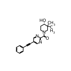 CC1(C)CN(C(=O)c2ncc(C#Cc3ccccc3)cn2)CC[C@@H]1O